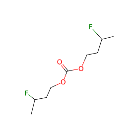 CC(F)CCOC(=O)OCCC(C)F